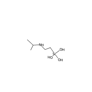 CC(C)NCC[Si](O)(O)O